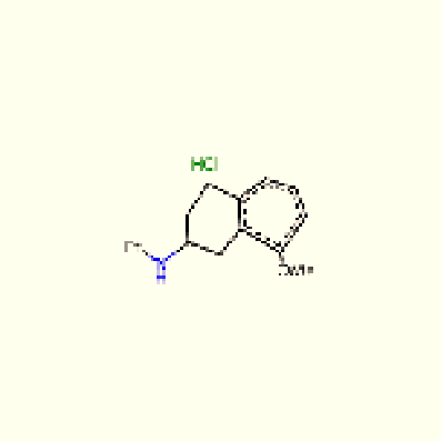 CCNC1CCc2cccc(OC)c2C1.Cl